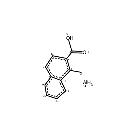 Cc1c(C(=O)O)ccc2ccccc12.[AlH3]